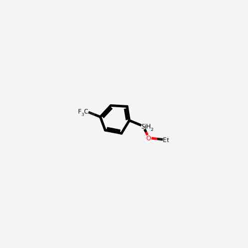 CCO[SiH2]c1ccc(C(F)(F)F)cc1